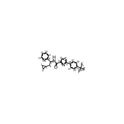 O=C(NC(CC1CC1)c1ccccn1)c1csc(-c2ccc(C(F)(F)F)cc2)n1